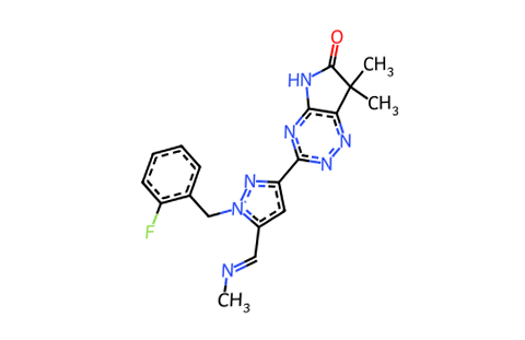 C/N=C/c1cc(-c2nnc3c(n2)NC(=O)C3(C)C)nn1Cc1ccccc1F